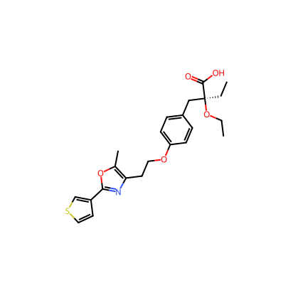 CCO[C@@](CC)(Cc1ccc(OCCc2nc(-c3ccsc3)oc2C)cc1)C(=O)O